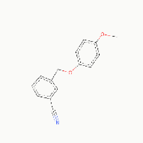 COc1ccc(OCc2cccc(C#N)c2)cc1